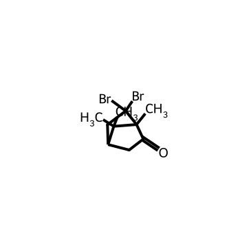 CC1(C)C2CC(=O)C1(C)C(Br)(Br)C2